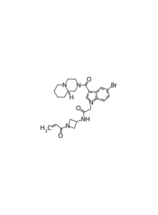 C=CC(=O)N1CC(NC(=O)Cn2cc(C(=O)N3CCN4CCCC[C@H]4C3)c3cc(Br)ccc32)C1